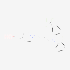 OCCC1CCN(CCCCN2c3ccccc3Sc3ccc(C(F)(F)F)cc32)CC1